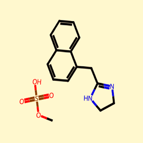 COS(=O)(=O)O.c1ccc2c(CC3=NCCN3)cccc2c1